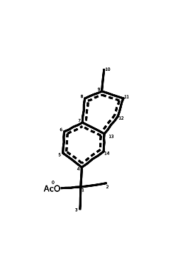 CC(=O)OC(C)(C)c1ccc2cc(C)ccc2c1